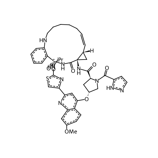 COc1ccc2c(O[C@@H]3C[C@@H](C(=O)N[C@]45C[C@H]4/C=C\CCCCCNc4ccccc4S(=O)(=O)NC5=O)N(C(=O)c4ccn[nH]4)C3)cc(-c3csc(NC(C)C)n3)nc2c1